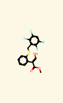 COC(=O)/C(=C/O)c1ccccc1SCc1c(F)c(F)cc(F)c1F